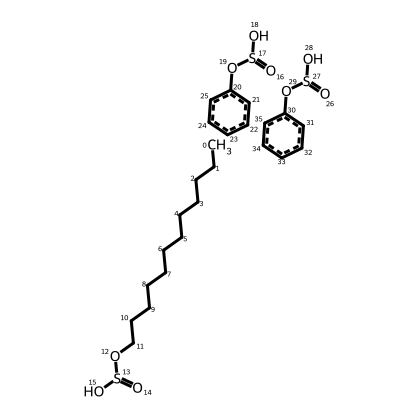 CCCCCCCCCCCCOS(=O)O.O=S(O)Oc1ccccc1.O=S(O)Oc1ccccc1